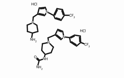 Cl.Cl.NC(=O)NC1CCN(Cc2ccn(-c3ccc(C(F)(F)F)cc3)c2)CC1.NC1CCN(Cc2ccn(-c3ccc(C(F)(F)F)cc3)c2)CC1